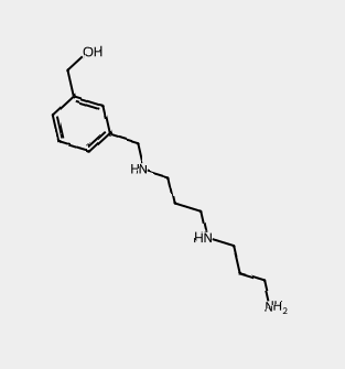 NCCCNCCCNCc1cccc(CO)c1